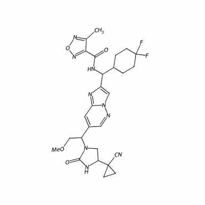 COCC(c1cnn2cc(C(NC(=O)c3nonc3C)C3CCC(F)(F)CC3)nc2c1)N1CC(C2(C#N)CC2)NC1=O